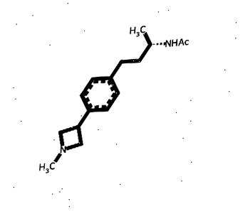 CC(=O)N[C@@H](C)CCc1ccc(C2CN(C)C2)cc1